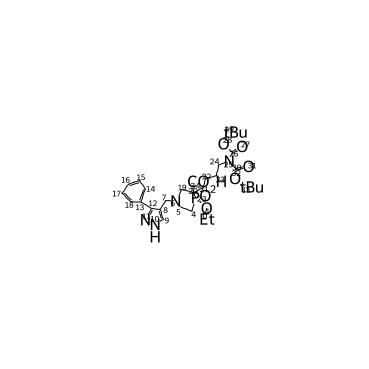 CCOP1(=O)CCN(Cc2c[nH]nc2-c2ccccc2)CC1(CCCCN(C(=O)OC(C)(C)C)C(=O)OC(C)(C)C)C(=O)O